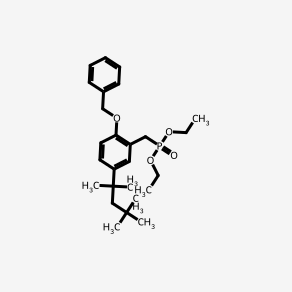 CCOP(=O)(Cc1cc(C(C)(C)CC(C)(C)C)ccc1OCc1ccccc1)OCC